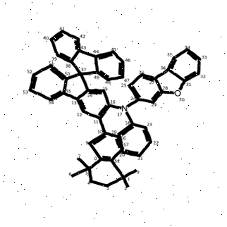 CC1(C)CCC(C)(C)c2cc(-c3cc4c(cc3N(c3ccccc3)c3ccc5c(c3)oc3ccccc35)C3(c5ccccc5-c5ccccc53)c3ccccc3-4)ccc21